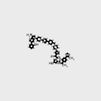 Cc1ncsc1-c1ccc([C@H](C)NC(=O)[C@@H]2C[C@@H](O)CN2C(=O)C(c2cc(N3CCN(CC4CCC(c5cnc(N6CCC(n7nc(N)c8nnc(-c9ccccc9O)cc87)CC6)nc5)CC4)CC3)no2)C(C)C)cc1